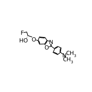 CN(C)c1ccc(-c2nc3ccc(OC[C@H](O)CF)cc3o2)cc1